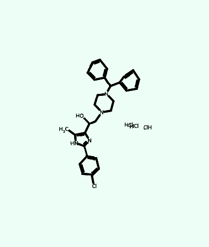 Cc1[nH]c(-c2ccc(Cl)cc2)nc1C(O)CN1CCN(C(c2ccccc2)c2ccccc2)CC1.Cl.Cl.Cl